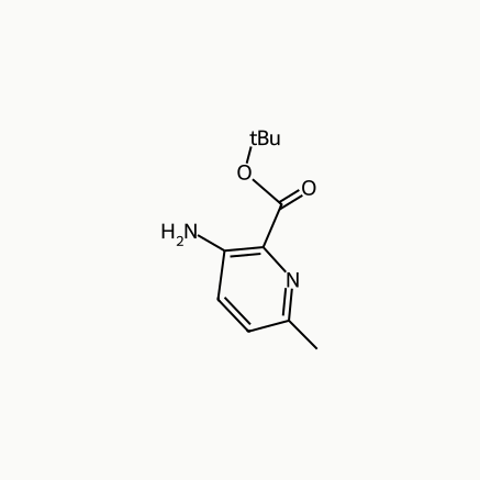 Cc1ccc(N)c(C(=O)OC(C)(C)C)n1